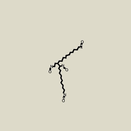 O=C=NCCCCCCCCCCCC(CCN=C=O)C(CCCCCCCCCCCN=C=O)N=C=O